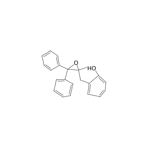 CC1(Cc2ccccc2O)OC1(c1ccccc1)c1ccccc1